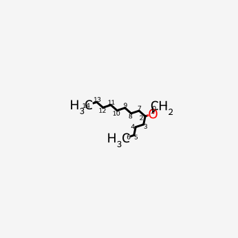 [CH2]OC(CCCC)CCCCCCCC